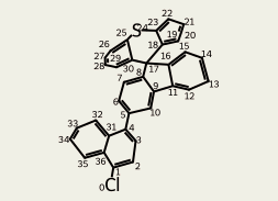 Clc1ccc(-c2ccc3c(c2)-c2ccccc2C32c3ccccc3Sc3ccccc32)c2ccccc12